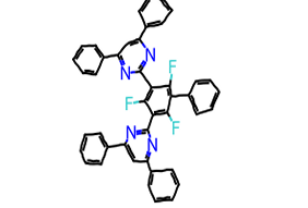 Fc1c(-c2ccccc2)c(F)c(-c2nc(-c3ccccc3)cc(-c3ccccc3)n2)c(F)c1-c1nc(-c2ccccc2)cc(-c2ccccc2)n1